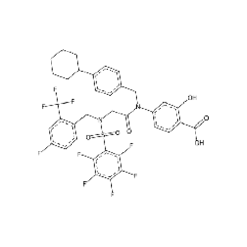 O=C(O)c1ccc(N(Cc2ccc(C3CCCCC3)cc2)C(=O)CN(Cc2ccc(F)cc2C(F)(F)F)S(=O)(=O)c2c(F)c(F)c(F)c(F)c2F)cc1O